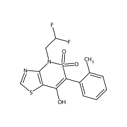 Cc1ccccc1C1=C(O)c2scnc2N(CC(F)F)S1(=O)=O